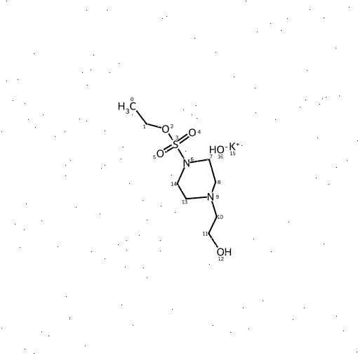 CCOS(=O)(=O)N1CCN(CCO)CC1.[K+].[OH-]